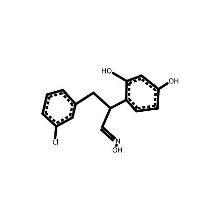 ON=CC(Cc1cccc(Cl)c1)c1ccc(O)cc1O